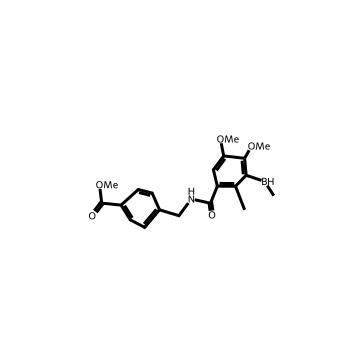 CBc1c(C)c(C(=O)NCc2ccc(C(=O)OC)cc2)cc(OC)c1OC